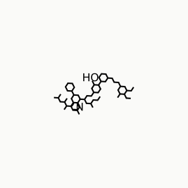 CCCC(C)CC(CCC1CCC(C2CC(CCCC3CC(C)C(CC)C(CC)C3)CCC2O)C(C)C1)C1CC(C2CCCCC2)Cc2c(C(C)C(C)CC(C)C)cc(C)nc21